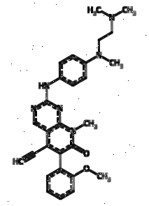 C#Cc1c(-c2ccccc2OC)c(=O)n(C)c2nc(Nc3ccc(N(C)CCN(C)C)cc3)ncc12